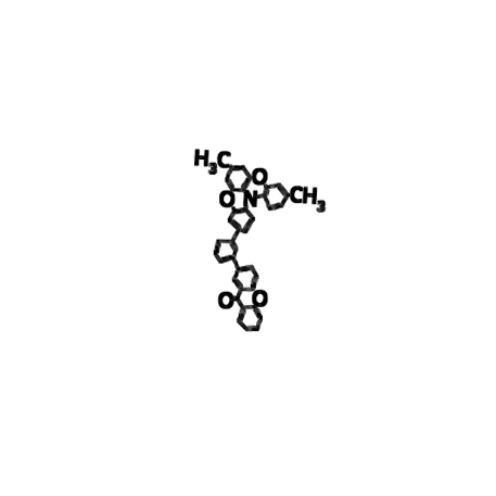 Cc1ccc2c(c1)Oc1cc(C)cc3c1N2c1ccc(-c2cccc(-c4ccc5oc6ccccc6c(=O)c5c4)c2)cc1O3